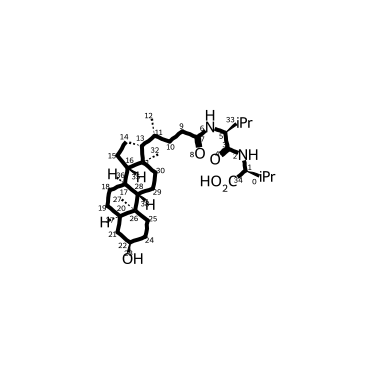 CC(C)[C@H](NC(=O)[C@@H](NC(=O)CC[C@@H](C)[C@H]1CC[C@H]2[C@@H]3CC[C@@H]4C[C@H](O)CC[C@]4(C)[C@H]3CC[C@]12C)C(C)C)C(=O)O